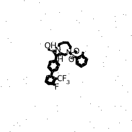 Cc1ccccc1S(=O)(=O)N1CCCCN2[C@H](CO)C(c3ccc(-c4cccc(F)c4C(F)(F)F)cc3)[C@@H]2C1